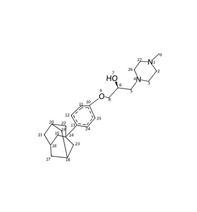 CN1CCN(C[C@H](O)COc2ccc(C34CC5CC(CC(C5)C3)C4)cc2)CC1